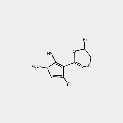 CCC1CON=C(c2c(Cl)nn(C)c2S)O1